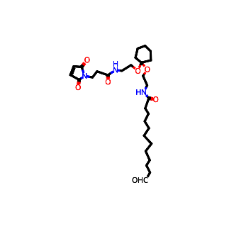 O=CCCCCCCCCCCC(=O)NCCOC1(OCCNC(=O)CCN2C(=O)C=CC2=O)CCCCC1